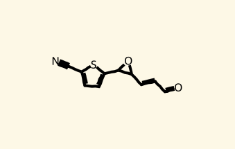 N#Cc1ccc(C2OC2/C=C/C=O)s1